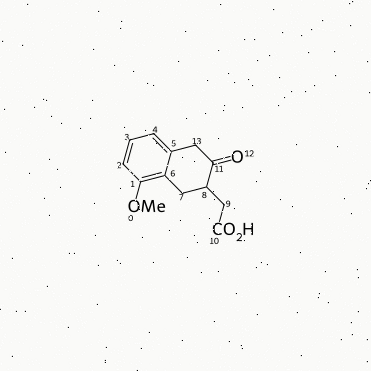 COc1cccc2c1CC(CC(=O)O)C(=O)C2